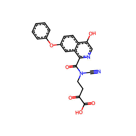 N#CN(CCC(=O)C(=O)O)C(=O)c1ncc(O)c2ccc(Oc3ccccc3)cc12